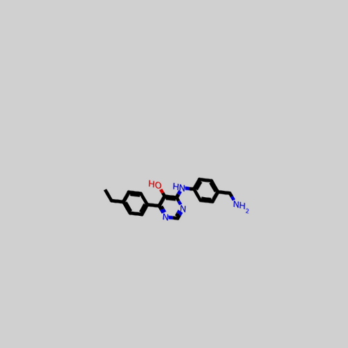 CCc1ccc(-c2ncnc(Nc3ccc(CN)cc3)c2O)cc1